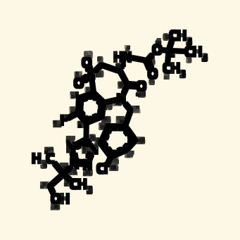 CC(C)(C)OC(=O)N[C@H]1CS(=O)(=O)c2cc(F)c(-c3nnn(C(C)(C)CO)n3)cc2N(Cc2ccc(Cl)cc2)C1=O